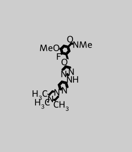 CNC(=O)c1cc(COc2cnc(Nc3ccc(N4C[C@@H](C)N(C)[C@@H](C)C4)nc3)nc2)c(F)c(OC)c1